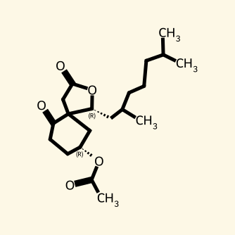 CC(=O)O[C@@H]1CCC(=O)C2(CC(=O)O[C@@H]2CC(C)CCCC(C)C)C1